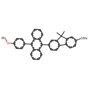 COc1ccc2c(c1)C(C)(C)c1cc(-c3c4ccccc4c(-c4ccc(OC(C)(C)C)cc4)c4ccccc34)ccc1-2